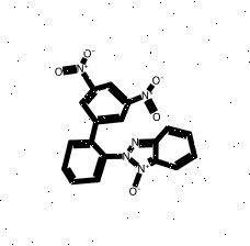 O=[N+]([O-])c1cc(-c2ccccc2-n2nc3ccccc3[n+]2[O-])cc([N+](=O)[O-])c1